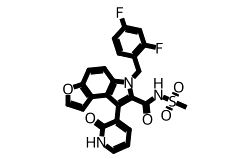 CS(=O)(=O)NC(=O)c1c(-c2ccc[nH]c2=O)c2c3ccoc3ccc2n1Cc1ccc(F)cc1F